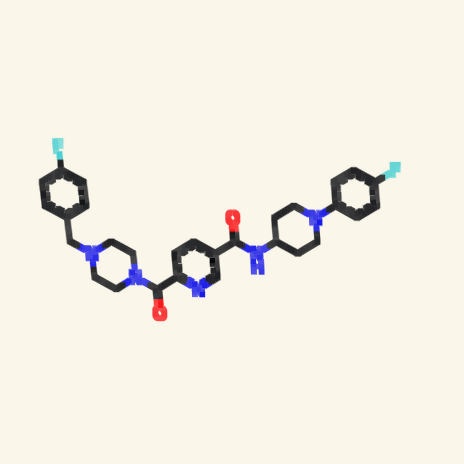 O=C(NC1CCN(c2ccc(F)cc2)CC1)c1ccc(C(=O)N2CCN(Cc3ccc(F)cc3)CC2)nc1